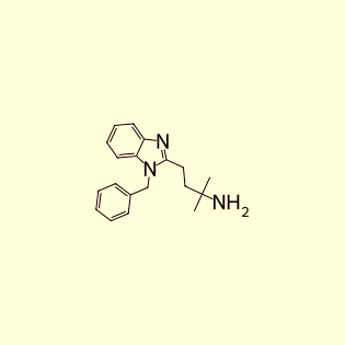 CC(C)(N)CCc1nc2ccccc2n1Cc1ccccc1